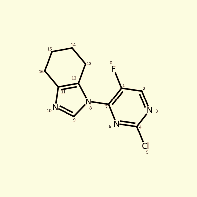 Fc1cnc(Cl)nc1-n1cnc2c1CCCC2